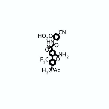 CC(=O)N(C)c1ccc(-c2cc3onc(C(=O)Nc4ccc(C#N)cc4C(=O)O)c3cc2C(N)=O)c(C(F)(F)F)c1